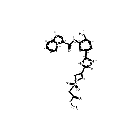 COC(=O)CS(=O)(=O)N1CC(c2nc(-c3ccc(C)c(NC(=O)c4cnc5ccccn45)c3)no2)C1